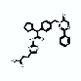 O=C(O)CCc1csc(NC(=O)C(c2ccc(CN3N=C(c4ccccc4)OCC3=O)cc2)C2CCCC2)n1